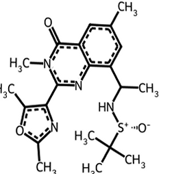 Cc1cc(C(C)N[S@+]([O-])C(C)(C)C)c2nc(-c3nc(C)oc3C)n(C)c(=O)c2c1